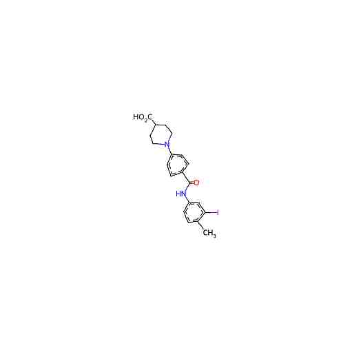 Cc1ccc(NC(=O)c2ccc(N3CCC(C(=O)O)CC3)cc2)cc1I